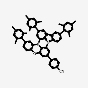 Cc1cc(C)c(-c2ccc3c(c2)B2c4c(cc(-c5ccc(C#N)cc5)cc4-n4c5ccc(-c6c(C)cc(C)cc6C)cc5c5cc(-c6c(C)cc(C)cc6C)cc2c54)O3)c(C)c1